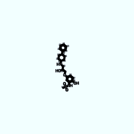 CS(=O)(=O)Nc1cc(OC[C@@H](O)CNC2CCC(c3ccccc3)CC2)ccc1O